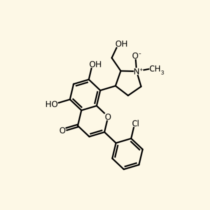 C[N+]1([O-])CCC(c2c(O)cc(O)c3c(=O)cc(-c4ccccc4Cl)oc23)C1CO